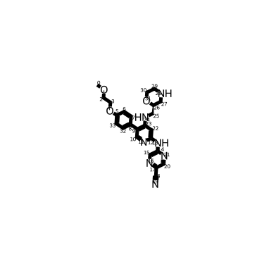 COCCOc1ccc(-c2cnc(Nc3cnc(C#N)cn3)cc2NC[C@@H]2CNCCO2)cc1